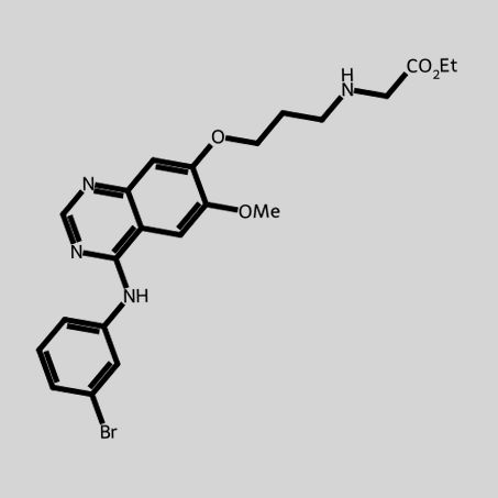 CCOC(=O)CNCCCOc1cc2ncnc(Nc3cccc(Br)c3)c2cc1OC